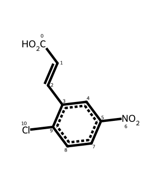 O=C(O)/C=C/c1cc([N+](=O)[O-])ccc1Cl